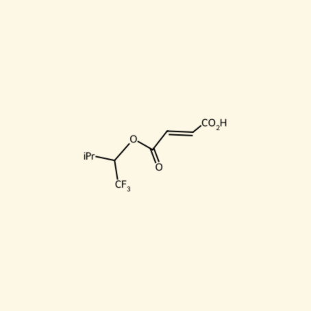 CC(C)C(OC(=O)C=CC(=O)O)C(F)(F)F